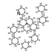 c1ccc(-c2cccc(-c3cc(-c4cccc(-c5ccccc5)c4)c4ccc5c(-c6ccccn6)cc(-c6cccc(-c7ccccc7)c6)c6ccc3c4c65)c2)cc1